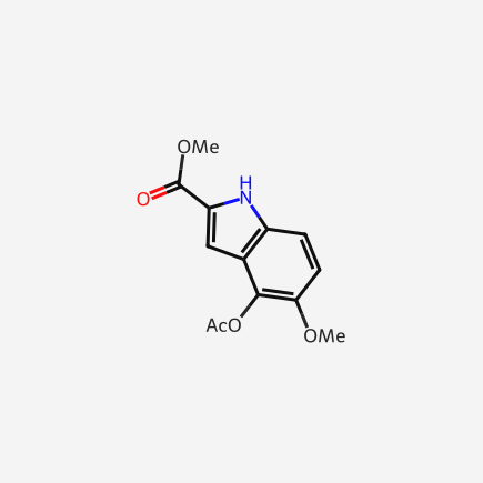 COC(=O)c1cc2c(OC(C)=O)c(OC)ccc2[nH]1